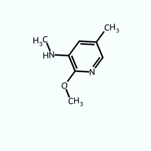 CNc1cc(C)cnc1OC